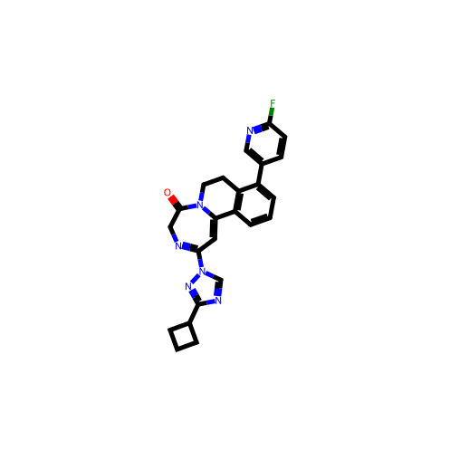 O=C1CN=C(n2cnc(C3CCC3)n2)C=C2c3cccc(-c4ccc(F)nc4)c3CCN12